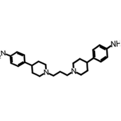 Nc1ccc(C2CCN(CCCN3CCC(c4ccc(N)cc4)CC3)CC2)cc1